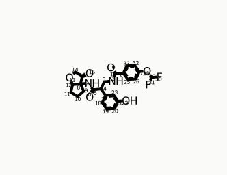 O=C(NCC(C(=O)NC12CCCC1OCC2=O)c1cccc(O)c1)c1ccc(OC(F)F)cc1